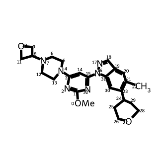 COc1nc(N2CCN(C3COC3)CC2)cc(-n2ncc3cc(C)c(C4CCOCC4)cc32)n1